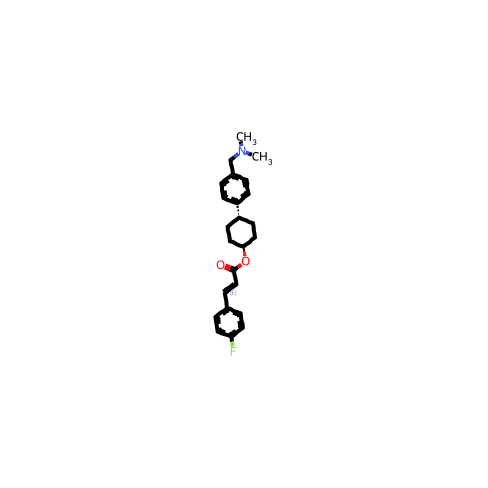 CN(C)Cc1ccc([C@H]2CC[C@H](OC(=O)/C=C/c3ccc(F)cc3)CC2)cc1